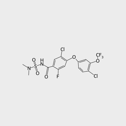 CN(C)S(=O)(=O)NC(=O)c1cc(Cl)c(Oc2ccc(Cl)c(OC(F)(F)F)c2)cc1F